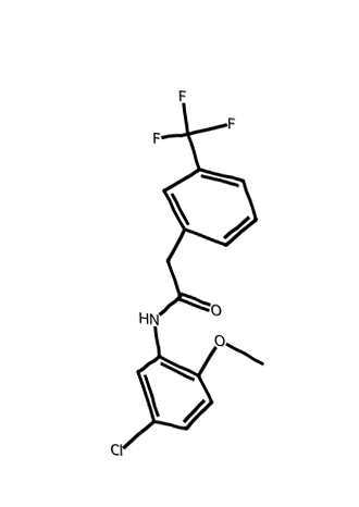 COc1ccc(Cl)cc1NC(=O)Cc1cccc(C(F)(F)F)c1